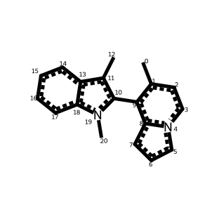 Cc1ccn2cccc2c1-c1c(C)c2ccccc2n1C